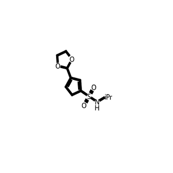 CC(C)NS(=O)(=O)C1=CC(C2OCCO2)=CC1